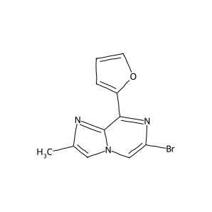 Cc1cn2cc(Br)nc(-c3ccco3)c2n1